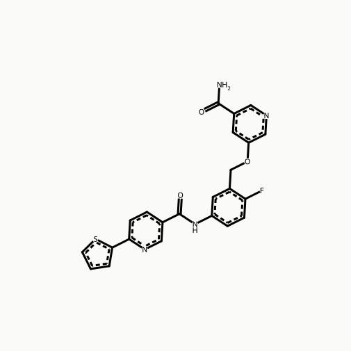 NC(=O)c1cncc(OCc2cc(NC(=O)c3ccc(-c4cccs4)nc3)ccc2F)c1